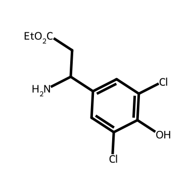 CCOC(=O)CC(N)c1cc(Cl)c(O)c(Cl)c1